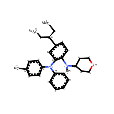 CCCN(c1ccc([C@H](COC)CC(=O)O)cc1N(c1ccccc1)c1ccc(C#N)cc1)C1CCOCC1